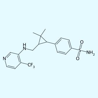 CC1(C)C(CNc2cnccc2C(F)(F)F)C1c1ccc(S(N)(=O)=O)cc1